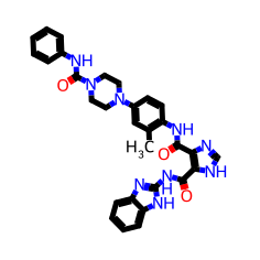 Cc1cc(N2CCN(C(=O)Nc3ccccc3)CC2)ccc1NC(=O)c1nc[nH]c1C(=O)Nc1nc2ccccc2[nH]1